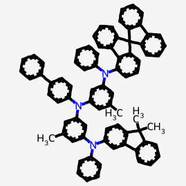 Cc1cc(N(c2ccc(-c3ccccc3)cc2)c2cc(C)cc(N(c3ccccc3)c3cccc4c3-c3ccccc3C43c4ccccc4-c4ccccc43)c2)cc(N(c2ccccc2)c2ccc3c(c2)-c2ccccc2C3(C)C)c1